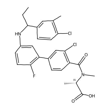 CCC(Nc1ccc(F)c(-c2ccc(C(=O)N(C)[C@@H](C)C(=O)O)c(Cl)c2)c1)c1ccc(Cl)c(C)c1